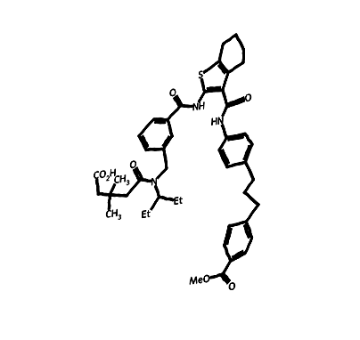 CCC(CC)N(Cc1cccc(C(=O)Nc2sc3c(c2C(=O)Nc2ccc(CCCc4ccc(C(=O)OC)cc4)cc2)CCCC3)c1)C(=O)CC(C)(C)CC(=O)O